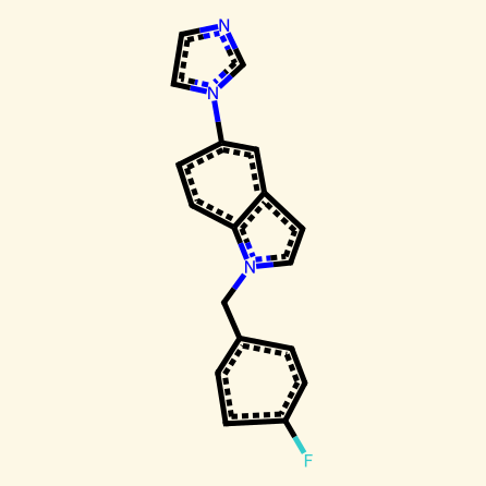 Fc1ccc(Cn2ccc3cc(-n4ccnc4)ccc32)cc1